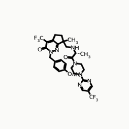 COc1ccc(Cn2nc3c(c(C(F)(F)F)c2=O)CCC3(C)CN[C@H](C)C(=O)N2CCN(c3ncc(C(F)(F)F)cn3)CC2)cc1